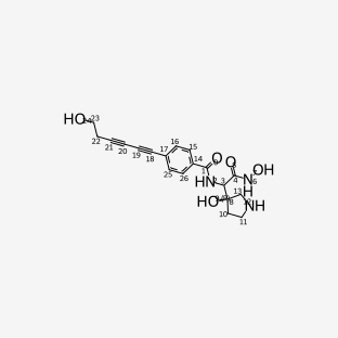 O=C(NC(C(=O)NO)[C@@]1(O)CCNC1)c1ccc(C#CC#CCCO)cc1